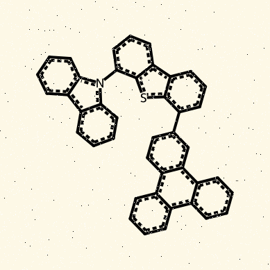 c1cc(-c2ccc3c4ccccc4c4ccccc4c3c2)c2sc3c(-n4c5ccccc5c5ccccc54)cccc3c2c1